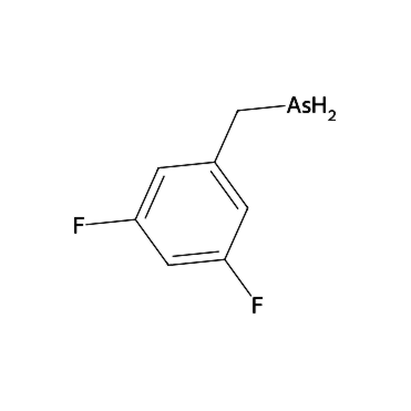 Fc1cc(F)cc(C[AsH2])c1